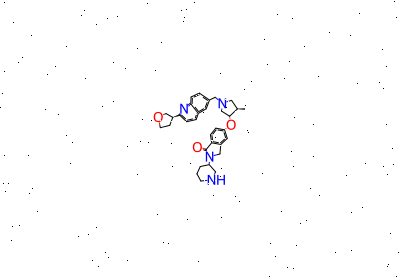 C[C@@H]1CN(Cc2ccc3nc([C@H]4CCOC4)ccc3c2)C[C@H]1Oc1ccc2c(c1)CN(C1CCCNC1)C2=O